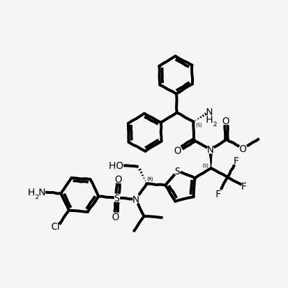 COC(=O)N(C(=O)[C@@H](N)C(c1ccccc1)c1ccccc1)[C@H](c1ccc([C@@H](CO)N(C(C)C)S(=O)(=O)c2ccc(N)c(Cl)c2)s1)C(F)(F)F